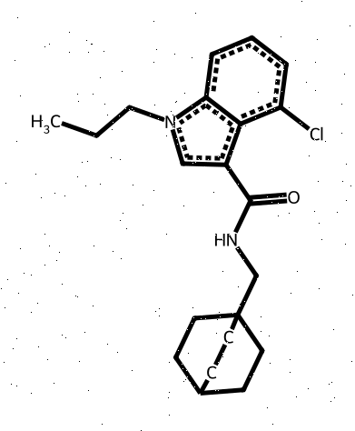 CCCn1cc(C(=O)NCC23CCC(CC2)CC3)c2c(Cl)cccc21